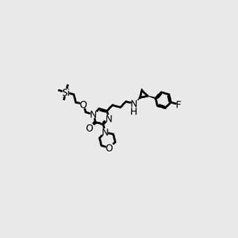 C[Si](C)(C)CCOCn1cc(CCCN[C@@H]2C[C@H]2c2ccc(F)cc2)nc(N2CCOCC2)c1=O